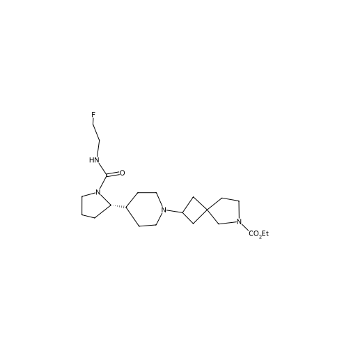 CCOC(=O)N1CCC2(CC(N3CCC([C@@H]4CCCN4C(=O)NCCF)CC3)C2)C1